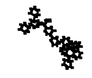 N=C(c1ccc(-c2cccc(-c3ccc4c(c3)C3(c5ccccc5N(c5ccccc5)c5ccccc53)c3ncccc3-4)c2)cc1)N1C2C(c3ccccc3)=CC(c3ccccc3)=CN21